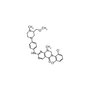 COCC1CN(c2ccc(Nc3ncc4c(n3)N(C)CN(c3c(Cl)cccc3Cl)C4=O)cc2)CCN1C